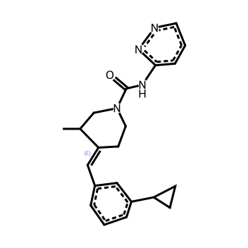 CC1CN(C(=O)Nc2cccnn2)CC/C1=C\c1cccc(C2CC2)c1